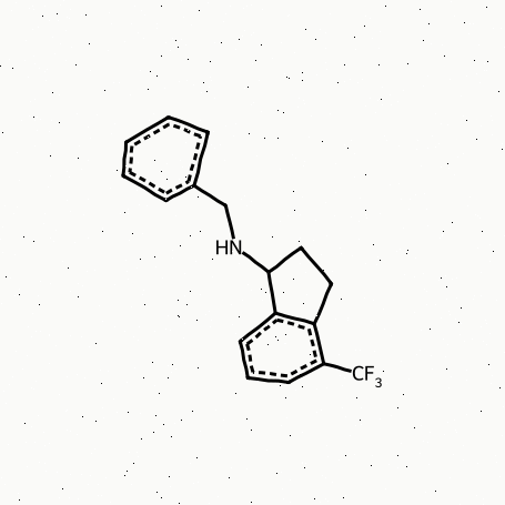 FC(F)(F)c1cccc2c1CCC2NCc1ccccc1